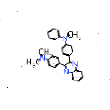 CN(C)c1ccc(-c2nc3ccccc3nc2-c2ccc(N(C)c3ccccc3)cc2)cc1